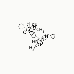 CCC(=O)N[C@H](Cc1ccc(CNC(=O)C(NC(=O)c2ccnn2C(C)C)C2CCCCCC2)cc1)C(=O)N1CCN(Cc2ccccc2)CC1